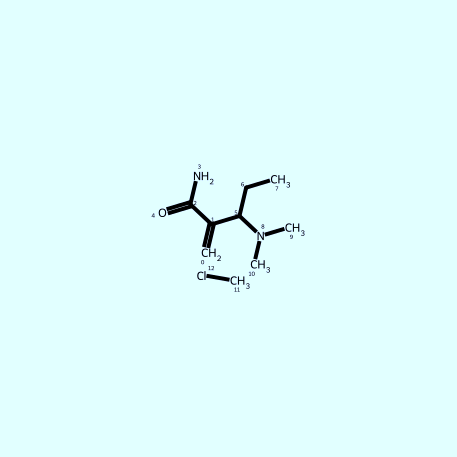 C=C(C(N)=O)C(CC)N(C)C.CCl